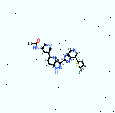 CCC(=O)Nc1cncc(-c2ccc3[nH]nc(-c4nc5c(-c6ccc(Cl)s6)cncc5[nH]4)c3n2)c1